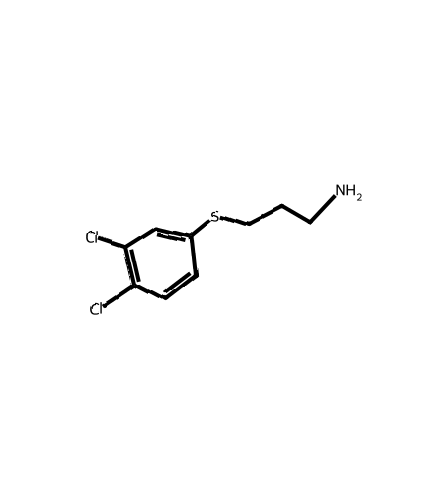 NCCCSc1ccc(Cl)c(Cl)c1